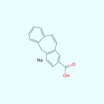 O=C(O)c1ccc2c(c1)C=Cc1ccccc1C2.[Na]